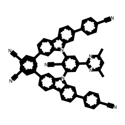 Cc1cc(C)nc(-c2cc(-n3c4cc(-c5ccc(C#N)cc5)ccc4c4ccc(-c5ccc(C#N)cc5)cc43)c(C#N)c(-n3c4cc(-c5ccc(C#N)cc5)ccc4c4ccc(-c5ccc(C#N)cc5)cc43)c2)n1